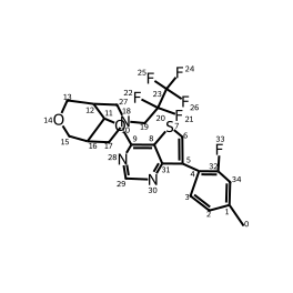 Cc1ccc(-c2csc3c(OC4C5COCC4CN(CC(F)(F)C(F)(F)F)C5)ncnc23)c(F)c1